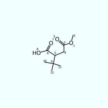 COC(=O)CC(C(=O)O)C(C)(C)C